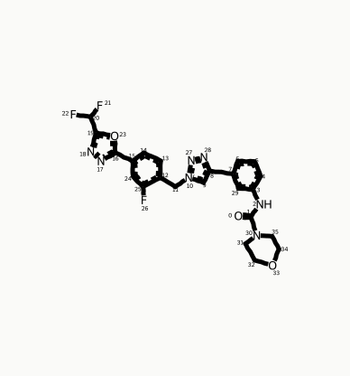 O=C(Nc1cccc(-c2cn(Cc3ccc(-c4nnc(C(F)F)o4)cc3F)nn2)c1)N1CCOCC1